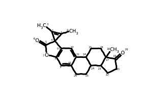 CC1=C(C)C12C(=O)Oc1cc3c(cc12)C1CCC2(C)C(=O)CCC2C1CC3